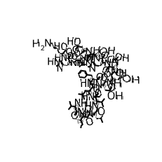 CC[C@H](C)[C@H](NC(=O)[C@@H](N)C(C)C)C(=O)N[C@@H](CC(C)C)C(=O)N[C@H](C(=O)N[C@@H](CC(C)C)C(=O)N[C@@H](Cc1ccccc1)C(=O)N[C@@H](CC(=O)O)C(=O)N[C@@H](CC(=O)O)C(=O)N[C@@H](CC(=O)O)C(=O)N[C@@H](Cc1c[nH]cn1)C(=O)N[C@@H](CO)C(=O)N[C@@H](CC(=O)O)C(=O)N[C@H](C(=O)N[C@@H](Cc1c[nH]cn1)C(=O)N[C@@H](CCCCN)C(=O)O)C(C)C)C(C)C